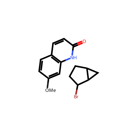 BrC1CCC2CC12.COc1ccc2ccc(=O)[nH]c2c1